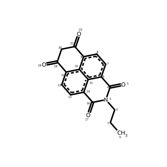 CCCN1C(=O)c2ccc3c4c(ccc(c24)C1=O)C(=O)CC3=O